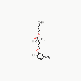 Cc1ccc(C)c(OCCCC(C)(C)C(=O)OCCCCC=O)c1